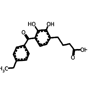 CCc1ccc(C(=O)c2ccc(CCCC(=O)O)c(O)c2O)cc1